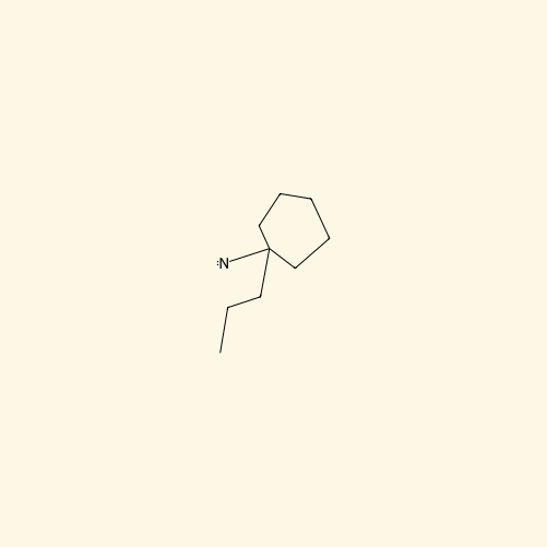 CCCC1([N])CCCCC1